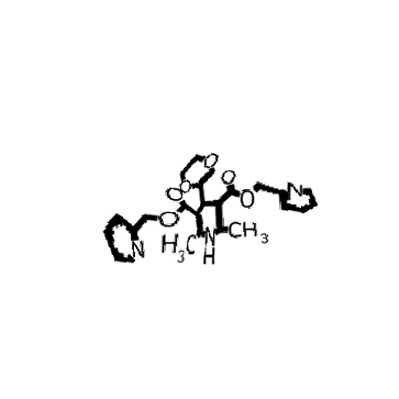 CC1=C(C(=O)OCc2ccccn2)C(C2=COCCO2)C(C(=O)OCc2ccccn2)=C(C)N1